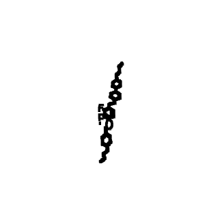 CCCCC1CCC(COc2ccc(CCC3CCC(C4CCC(CCCC)CC4)CC3)c(F)c2F)CC1